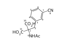 CC(=O)NC(Cc1cccc(C#N)c1)(C(=O)O)C(=O)O